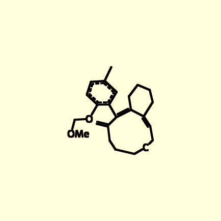 C=C1CCCCC/C=C2/CCCC/C2=C/1c1cc(C)ccc1OCOC